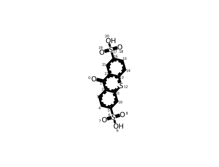 O=c1c2ccc(S(=O)(=O)O)cc2sc2ccc(S(=O)(=O)O)cc12